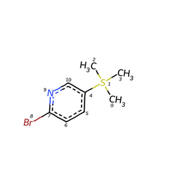 CS(C)(C)c1ccc(Br)nc1